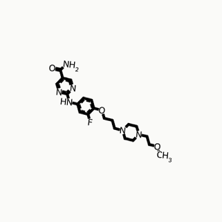 COCCN1CCN(CCCOc2ccc(Nc3ncc(C(N)=O)cn3)cc2F)CC1